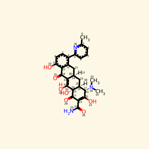 Cc1cccc(-c2ccc(O)c3c2C[C@H]2C[C@H]4[C@H](N(C)C)C(O)=C(C(N)=O)C(=O)[C@@]4(O)C(O)=C2C3=O)n1